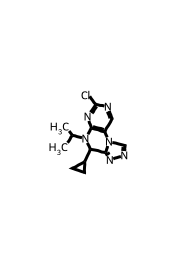 CC(C)N1c2nc(Cl)ncc2-n2cnnc2C1C1CC1